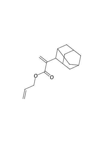 C=CCOC(=O)C(=C)C1C2CC3CC(C2)CC1C3